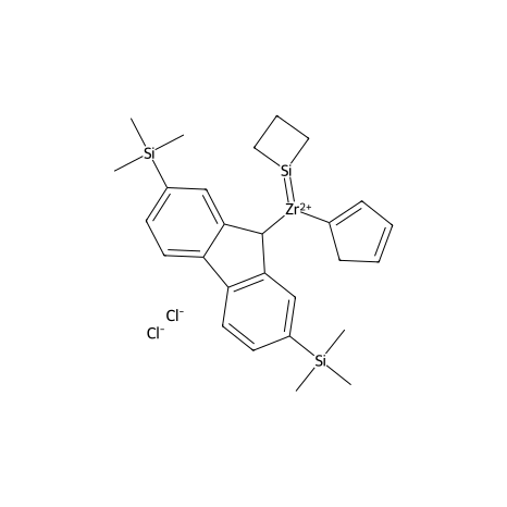 C[Si](C)(C)c1ccc2c(c1)[CH]([Zr+2]([C]1=CC=CC1)=[Si]1CCC1)c1cc([Si](C)(C)C)ccc1-2.[Cl-].[Cl-]